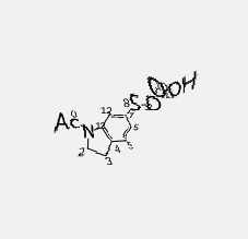 CC(=O)N1CCc2ccc(SOOO)cc21